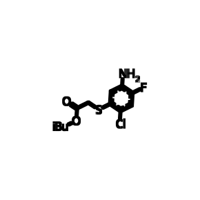 CCC(C)OC(=O)CSc1cc(N)c(F)cc1Cl